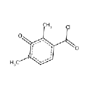 Cc1c(C(=O)Cl)ccn(C)c1=O